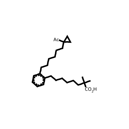 CC(=O)C1(CCCCCCc2ccccc2CCCCCCC(C)(C)C(=O)O)CC1